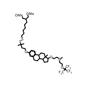 COCC(CCCCCCSSC(C)(C)CCOc1ccc2c(c1)CCC1C2CCC2(C)C(OCCN(C)CCOC(C(F)(F)F)(C(F)(F)F)C(F)(F)F)CCC12)COC